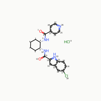 Cl.O=C(N[C@H]1CCCC[C@H]1NC(=O)c1cc2cc(Cl)ccc2[nH]1)c1ccncc1